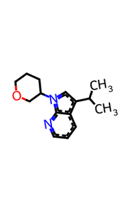 CC(C)c1cn(C2CCCOC2)c2ncccc12